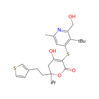 Cc1cc(SC2=C(O)CC(CCc3ccsc3)(C(C)C)OC2=O)c(C(C)(C)C)c(CO)n1